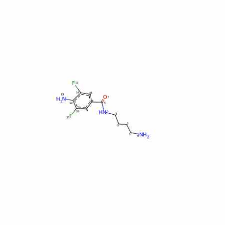 NCCCCNC(=O)c1cc(F)c(N)c(F)c1